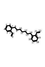 C=Cc1ccccc1CCCCCCCc1ccccc1C=C